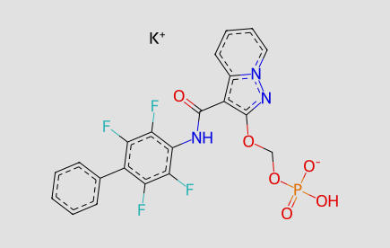 O=C(Nc1c(F)c(F)c(-c2ccccc2)c(F)c1F)c1c(OCOP(=O)([O-])O)nn2ccccc12.[K+]